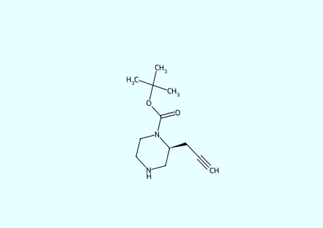 C#CC[C@H]1CNCCN1C(=O)OC(C)(C)C